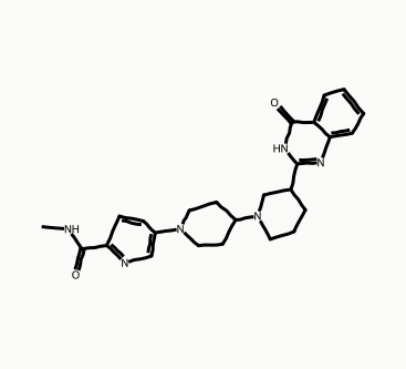 CNC(=O)c1ccc(N2CCC(N3CCCC(c4nc5ccccc5c(=O)[nH]4)C3)CC2)cn1